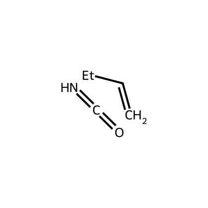 C=CCC.N=C=O